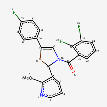 COc1ncccc1C1SC(c2ccc(F)cc2)=CN1C(=O)c1cccc(F)c1F